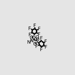 [N-]=[N+]=C(S(=O)(=O)c1c(F)c(F)c(F)c(F)c1F)S(=O)(=O)c1c(F)c(F)c(F)c(F)c1F